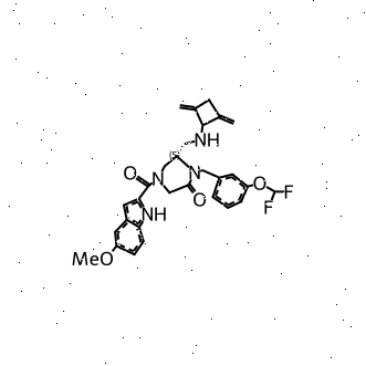 C=C1CC(=C)C1NC[C@H]1CN(C(=O)c2cc3cc(OC)ccc3[nH]2)CC(=O)N1Cc1cccc(OC(F)F)c1